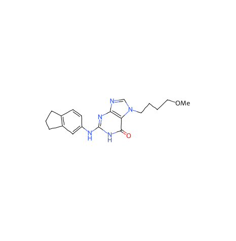 COCCCCn1cnc2nc(Nc3ccc4c(c3)CCC4)[nH]c(=O)c21